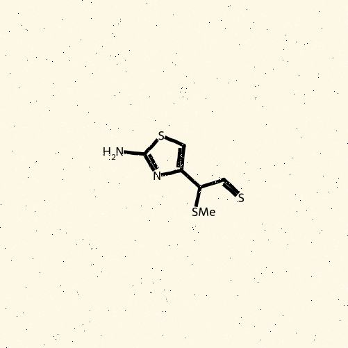 CSC(C=S)c1csc(N)n1